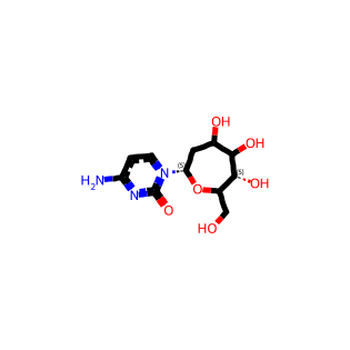 Nc1ccn([C@@H]2CC(O)C(O)[C@H](O)C(CO)O2)c(=O)n1